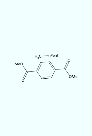 CCCCCC.COC(=O)c1ccc(C(=O)OC)cc1